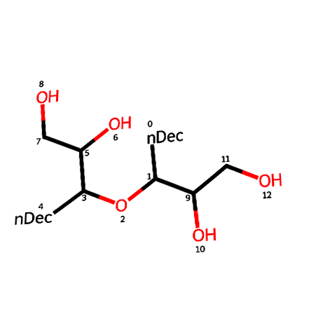 CCCCCCCCCCC(OC(CCCCCCCCCC)C(O)CO)C(O)CO